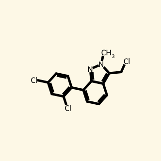 Cn1nc2c(-c3ccc(Cl)cc3Cl)cccc2c1CCl